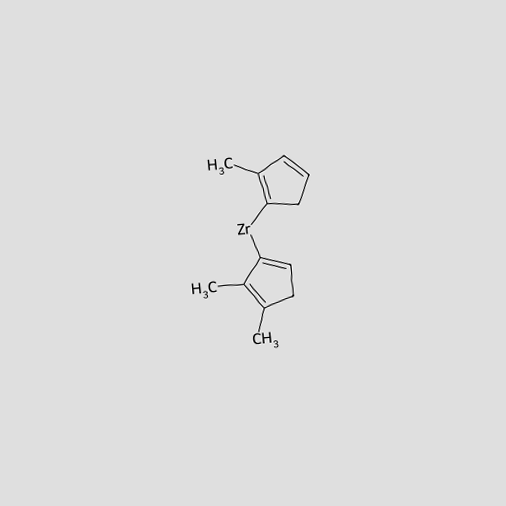 CC1=[C]([Zr][C]2=CCC(C)=C2C)CC=C1